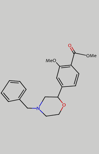 COC(=O)c1ccc(C2CN(Cc3ccccc3)CCO2)cc1OC